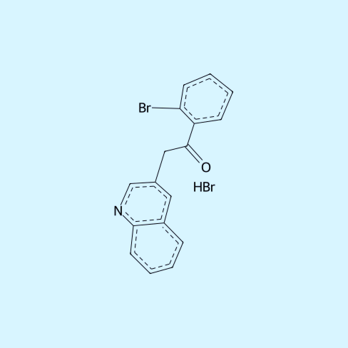 Br.O=C(Cc1cnc2ccccc2c1)c1ccccc1Br